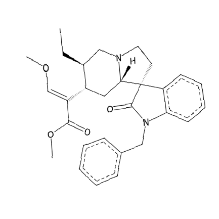 CC[C@H]1CN2CC[C@]3(C(=O)N(Cc4ccccc4)c4ccccc43)[C@@H]2C[C@@H]1/C(=C\OC)C(=O)OC